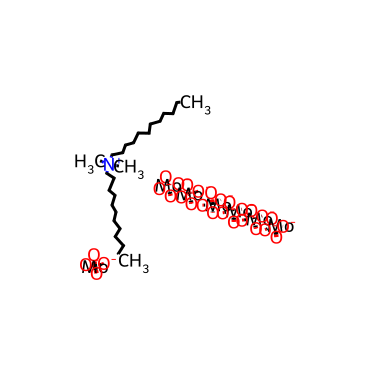 CCCCCCCCCCCC[N+](C)(C)CCCCCCCCCCCC.[O]=[Mo](=[O])([O-])[O-].[O]=[Mo](=[O])([O-])[O-].[O]=[Mo](=[O])([O-])[O-].[O]=[Mo](=[O])([O-])[O-].[O]=[Mo](=[O])([O-])[O-].[O]=[Mo](=[O])([O-])[O-].[O]=[Mo](=[O])([O-])[O-]